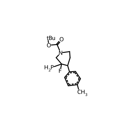 Cc1ccc(C2CCN(C(=O)OC(C)(C)C)CC2(F)P)cc1